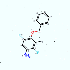 Cc1c(F)c(N)cc(F)c1OCc1ccccc1